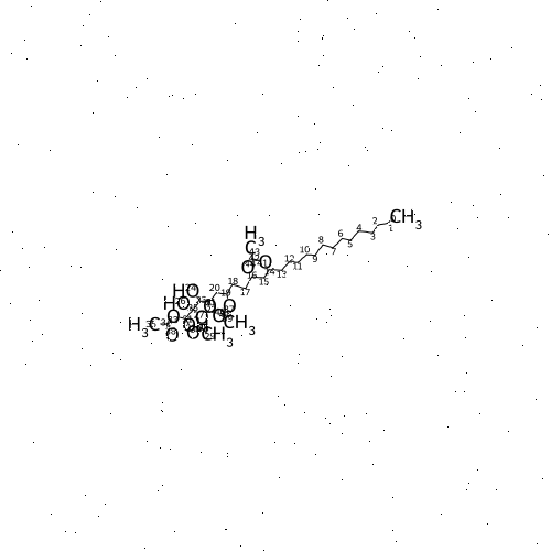 CCCCCCCCCCCCCCC(CCCCC(CC(=O)C(O)C(O)(OC(C)=O)C(O)OC(C)=O)OC(C)=O)OC(C)=O